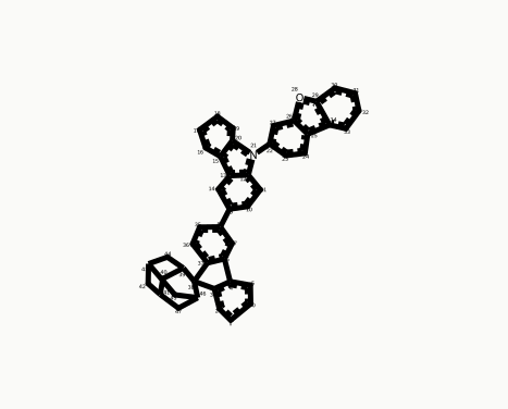 c1ccc2c(c1)-c1cc(-c3ccc4c(c3)c3ccccc3n4-c3ccc4c(c3)oc3ccccc34)ccc1C21C2CC3CC(C2)CC1C3